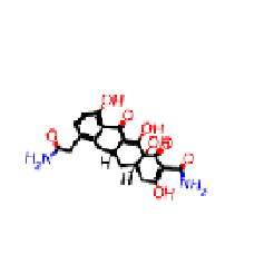 NC(=O)Cc1ccc(O)c2c1C[C@H]1C[C@H]3CC(O)=C(C(N)=O)C(=O)[C@@]3(O)C(O)=C1C2=O